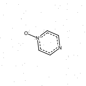 [O-][n+]1ccncc1